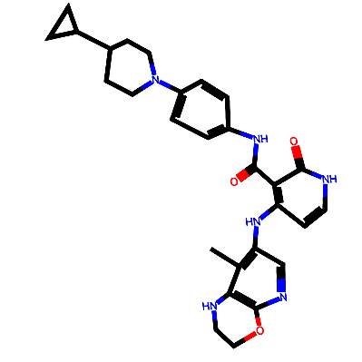 Cc1c(Nc2cc[nH]c(=O)c2C(=O)Nc2ccc(N3CCC(C4CC4)CC3)cc2)cnc2c1NCCO2